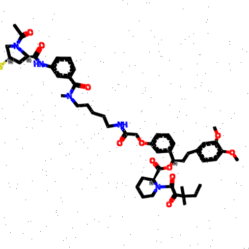 CCC(C)(C)C(=O)C(=O)N1CCCC[C@H]1C(=O)O[C@H](CCc1ccc(OC)c(OC)c1)c1cccc(OCC(=O)NCCCCCN(C)C(=O)c2cccc(NC(=O)[C@@H]3C[C@H](S)CN3C(C)=O)c2)c1